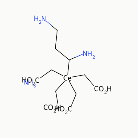 N.NCC[CH](N)[Ce]([CH2]C(=O)O)([CH2]C(=O)O)([CH2]C(=O)O)[CH2]C(=O)O